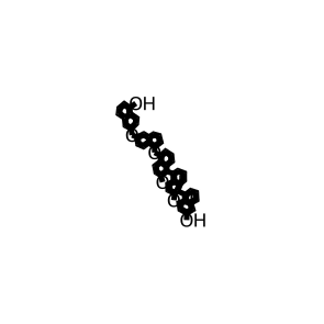 Oc1ccc2c(-c3c(O)ccc4c(-c5c(O)ccc6c(Oc7cccc8cc(Oc9ccc%10c(O)cccc%10c9)ccc78)cccc56)cccc34)cccc2c1